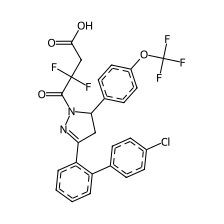 O=C(O)CC(F)(F)C(=O)N1N=C(c2ccccc2-c2ccc(Cl)cc2)CC1c1ccc(OC(F)(F)F)cc1